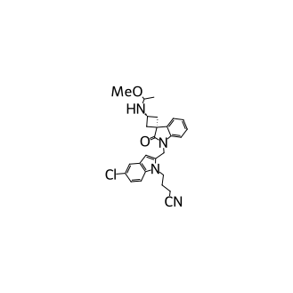 COC(C)N[C@H]1C[C@@]2(C1)C(=O)N(Cc1cc3cc(Cl)ccc3n1CCCC#N)c1ccccc12